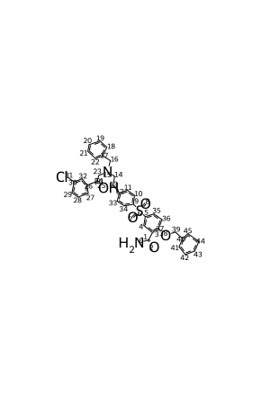 NC(=O)c1cc(S(=O)(=O)c2ccc(CCN(Cc3ccccc3)C[C@H](O)c3cccc(Cl)c3)cc2)ccc1OCc1ccccc1